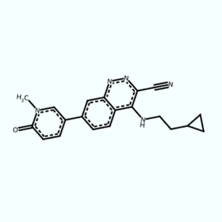 Cn1cc(-c2ccc3c(NCCC4CC4)c(C#N)nnc3c2)ccc1=O